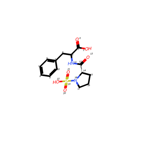 O=C(O)C(Cc1ccccc1)NC(=O)[C@@H]1CCCN1S(=O)(=O)O